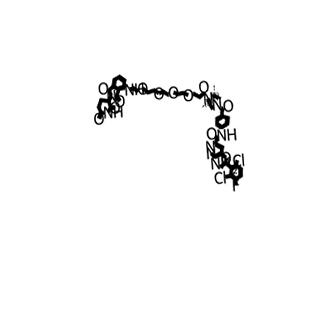 CC(Oc1cc(C(=O)Nc2ccc(C(=O)N3C[C@@H](C)N(C(=O)CCOCCOCCOCCOCCNc4cccc5c4C(=O)N(C4CCC(=O)NC4=O)C5=O)[C@@H](C)C3)cc2)nnc1N)c1c(Cl)ccc(F)c1Cl